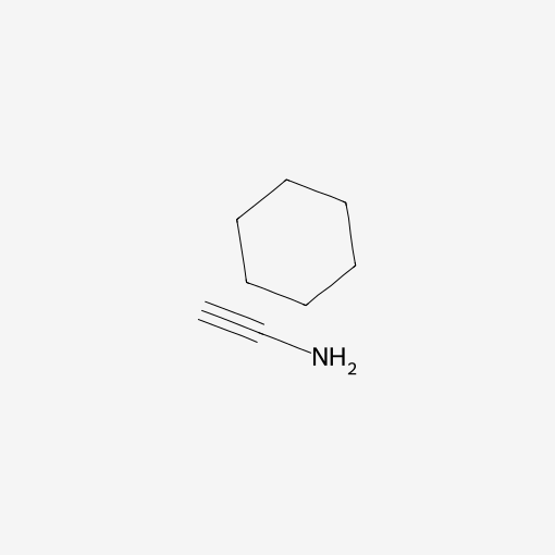 C#CN.C1CCCCC1